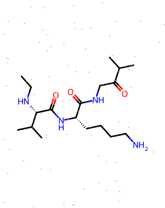 CCN[C@H](C(=O)N[C@@H](CCCCN)C(=O)NCC(=O)C(C)C)C(C)C